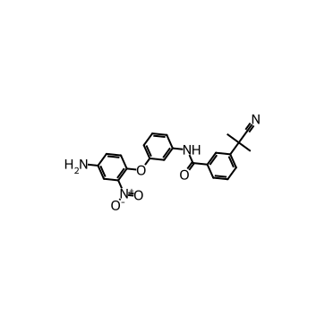 CC(C)(C#N)c1cccc(C(=O)Nc2cccc(Oc3ccc(N)cc3[N+](=O)[O-])c2)c1